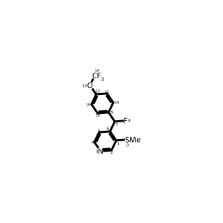 CSc1cnccc1C(F)c1ccc(OC(F)(F)F)cc1